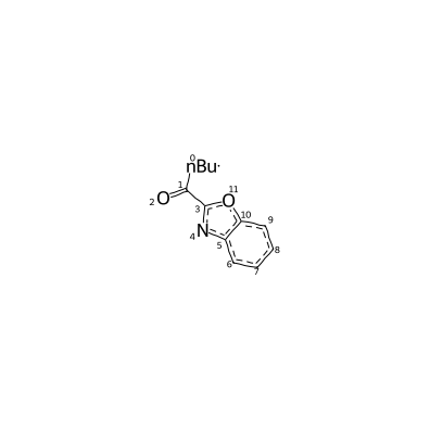 CCC[CH]C(=O)c1nc2ccccc2o1